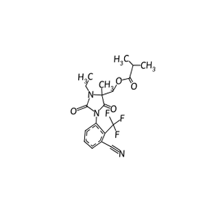 CCN1C(=O)N(c2cccc(C#N)c2C(F)(F)F)C(=O)C1(C)COC(=O)C(C)C